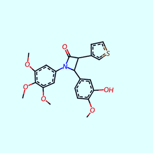 COc1ccc(C2C(c3ccsc3)C(=O)N2c2cc(OC)c(OC)c(OC)c2)cc1O